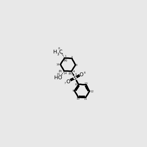 C[C@@H]1CC[C@@H](S(=O)(=O)c2ccccc2)[C@H](O)C1